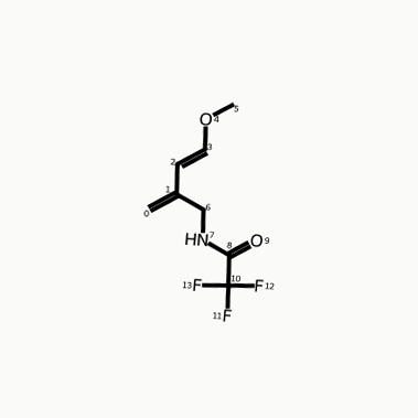 C=C(/C=C/OC)CNC(=O)C(F)(F)F